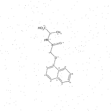 CC(NC(=O)COc1cccc2ccccc12)C(=O)O